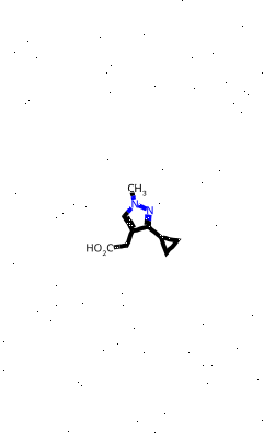 Cn1cc(CC(=O)O)c(C2CC2)n1